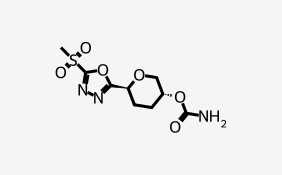 CS(=O)(=O)c1nnc([C@@H]2CC[C@@H](OC(N)=O)CO2)o1